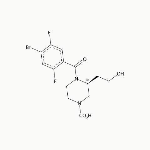 O=C(O)N1CCN(C(=O)c2cc(F)c(Br)cc2F)[C@@H](CCO)C1